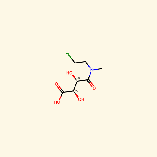 CN(CCCl)C(=O)[C@H](O)[C@@H](O)C(=O)O